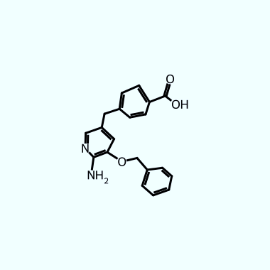 Nc1ncc(Cc2ccc(C(=O)O)cc2)cc1OCc1ccccc1